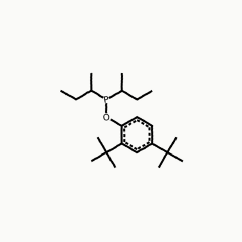 CCC(C)P(Oc1ccc(C(C)(C)C)cc1C(C)(C)C)C(C)CC